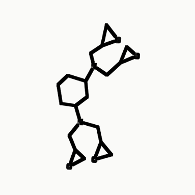 C1CC(N(CC2CO2)CC2CO2)CC(N(CC2CO2)CC2CO2)C1